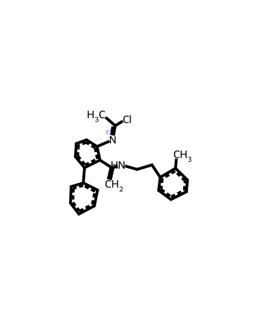 C=C(NCCc1ccccc1C)c1c(/N=C(\C)Cl)cccc1-c1ccccc1